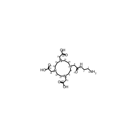 NCCNC(=O)CN1CCN(CC(=O)O)CCN(CC(=O)O)CCN(CC(=O)O)CC1